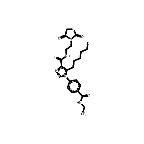 O=C(NCC(F)(F)F)c1ccc(-n2nnc(C(=O)NCCN3C(=O)CSC3=O)c2CCCCCF)cc1